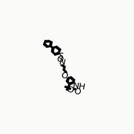 CC1(C)OC(=O)Nc2ccc(OCCCC=NOSc3ccc(-c4ccccc4)cc3)cc21